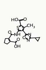 Cc1c(C(=O)O)sc(NC(=O)C2=C(C(=O)O)CCC2)c1-c1nc(C2CC2)no1